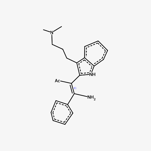 CC(=O)/C(=C(/N)c1ccccc1)c1[nH]c2ccccc2c1CCCN(C)C